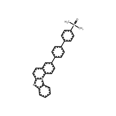 CP(C)(=O)c1ccc(-c2ccc(-c3ccc4c(ccc5nc6ccccc6n54)c3)cc2)cc1